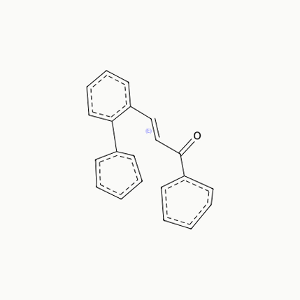 O=C(/C=C/c1ccccc1-c1ccccc1)c1ccccc1